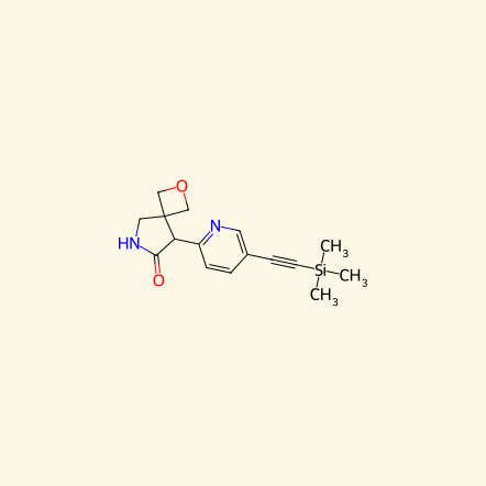 C[Si](C)(C)C#Cc1ccc(C2C(=O)NCC23COC3)nc1